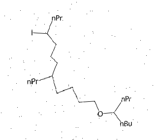 CCCCC(CCC)OCCCCC(CCC)CCCC(I)CCC